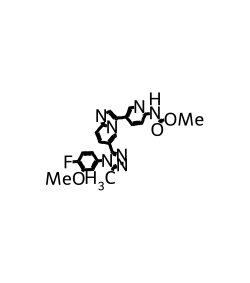 COC(=O)Nc1ccc(-c2cnc3ccc(-c4nnc(C)n4-c4ccc(F)c(OC)c4)cn23)cn1